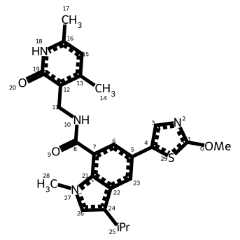 COc1ncc(-c2cc(C(=O)NCc3c(C)cc(C)[nH]c3=O)c3c(c2)c(C(C)C)cn3C)s1